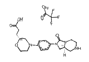 O=C(O)C(F)(F)F.O=C(O)CC[C@@H]1CN(c2ccc(N3C[C@@H]4CNCCN4C3=O)cc2)CCO1